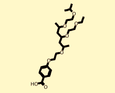 CCOCCOC(CC(C)OCCOc1ccc(C(=O)O)cc1)CC(C)OCCOC(C)C